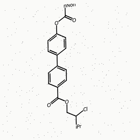 CCCCCCCCCC(=O)Oc1ccc(-c2ccc(C(=O)OCC(Cl)C(C)C)cc2)cc1